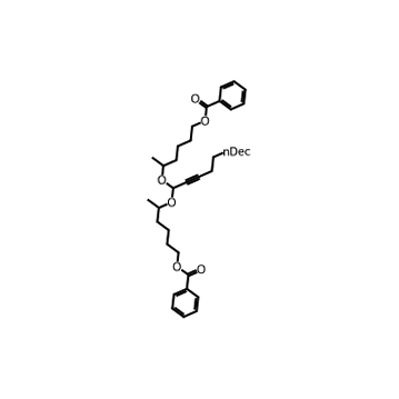 CCCCCCCCCCCCC#CC(OC(C)CCCCOC(=O)c1ccccc1)OC(C)CCCCOC(=O)c1ccccc1